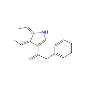 C=C(Cc1ccccc1)c1c[nH]c(=C/C)/c1=C\C